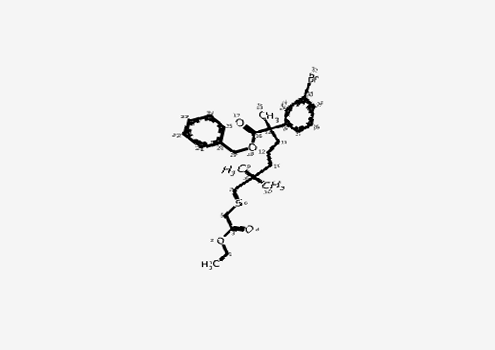 CCOC(=O)CSCC(C)(C)CCCC(C)(C(=O)OCc1ccccc1)c1cccc(Br)c1